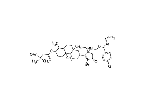 C=N/N=C(\OCNC12CCC3C(CCC4C3(C)CCC3C(C)C(OC(=O)CC(C)(C)C=O)CCC34C)C1=C(C(C)C)C(=O)C2)c1ccc(Cl)cn1